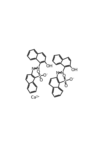 O=S(=O)([O-])c1c(N=Nc2c(O)ccc3ccccc23)ccc2ccccc12.O=S(=O)([O-])c1c(N=Nc2c(O)ccc3ccccc23)ccc2ccccc12.[Ca+2]